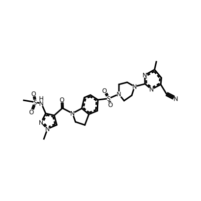 Cc1cc(C#N)nc(N2CCN(S(=O)(=O)c3ccc4c(c3)CCN4C(=O)c3cn(C)nc3NS(C)(=O)=O)CC2)n1